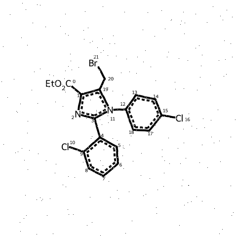 CCOC(=O)c1nc(-c2ccccc2Cl)n(-c2ccc(Cl)cc2)c1CBr